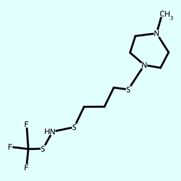 CN1CCN(SCCCSNSC(F)(F)F)CC1